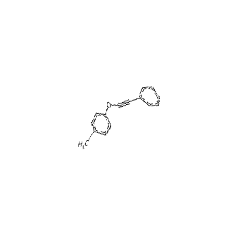 Cc1ccc(OC#Cc2ccccc2)cc1